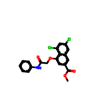 COC(=O)c1cc(OCC(=O)Nc2ccccc2)c2c(Cl)cc(Cl)cc2c1